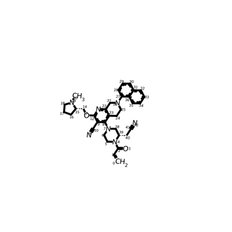 C=CC(=O)N1CCN(c2c(C#N)c(OC[C@@H]3CCCN3C)nc3c2CCN(c2cccc4ccccc24)C3)C[C@@H]1CC#N